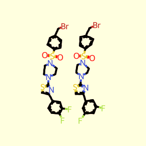 O=S(=O)(c1ccc(CBr)cc1)N1CCN(c2nc(-c3cc(F)cc(F)c3)cs2)CC1.O=S(=O)(c1ccc(CBr)cc1)N1CCN(c2nc(-c3ccc(F)c(F)c3)cs2)CC1